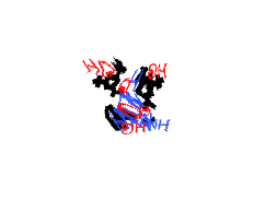 CC(C(=O)NNC(=O)C(C)c1cc(C(C)(C)C)c(O)c(C(C)(C)C)c1)c1cc(C(C)(C)C)c(O)c(C(C)(C)C)c1.O=C(Nc1nc[nH]n1)c1ccccc1O